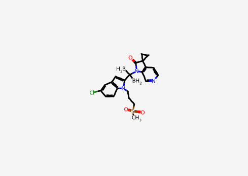 BC(B)(c1cc2cc(Cl)ccc2n1CCCS(C)(=O)=O)N1C(=O)C2(CC2)c2ccncc21